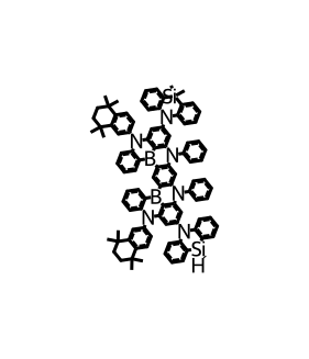 C[SiH]1c2ccccc2N(c2cc3c4c(c2)N(c2ccccc2)c2cc5c(cc2B4c2ccccc2N3c2ccc3c(c2)C(C)(C)CCC3(C)C)B2c3ccccc3N(c3ccc4c(c3)C(C)(C)CCC4(C)C)c3cc(N4c6ccccc6[Si](C)(C)c6ccccc64)cc(c32)N5c2ccccc2)c2ccccc21